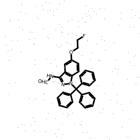 O=CNc1nn(C(c2ccccc2)(c2ccccc2)c2ccccc2)c2ccc(OCCF)cc12